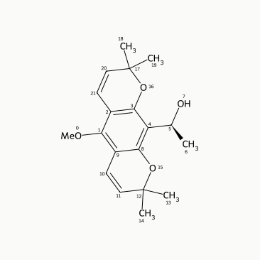 COc1c2c(c([C@H](C)O)c3c1C=CC(C)(C)O3)OC(C)(C)C=C2